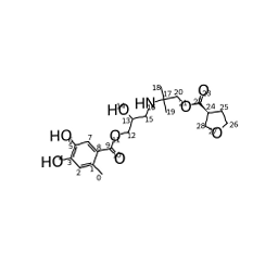 Cc1cc(O)c(O)cc1C(=O)OCC(O)CNC(C)(C)COC(=O)[C@H]1CCOC1